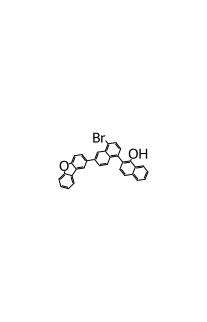 Oc1c(-c2ccc(Br)c3cc(-c4ccc5oc6ccccc6c5c4)ccc23)ccc2ccccc12